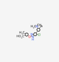 Cc1ccc(Oc2nc3cc(-c4ccc(C5CC5)c(N(C)C)c4)c(Cl)cc3[nH]2)cc1C(=O)O